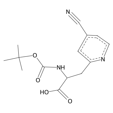 CC(C)(C)OC(=O)NC(Cc1cc(C#N)ccn1)C(=O)O